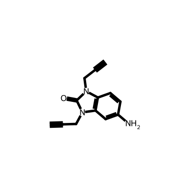 C#CCn1c(=O)n(CC#C)c2cc(N)ccc21